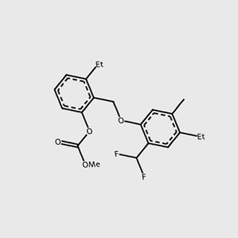 CCc1cc(C(F)F)c(OCc2c(CC)cccc2OC(=O)OC)cc1C